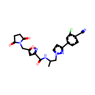 CC(Cn1ccc(-c2ccc(C#N)c(Cl)c2)n1)NC(=O)c1cc(CN2C(=O)CCC2=O)on1